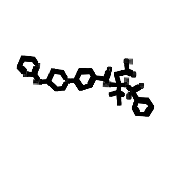 CC(C)(C)C(CC(=O)O)(NC(=O)c1ccc(N2CCC(Nc3ncccn3)CC2)cc1)NS(=O)(=O)c1ccccc1